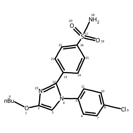 CCCCOc1cn(-c2ccc(Cl)cc2)c(-c2ccc(S(N)(=O)=O)cc2)n1